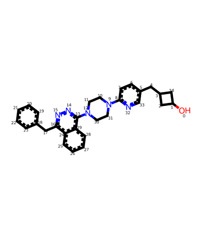 OC1CC(Cc2ccc(N3CCN(c4nnc(Cc5ccccc5)c5ccccc45)CC3)nc2)C1